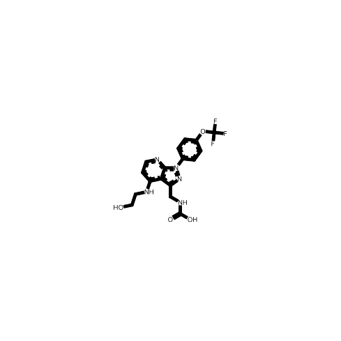 O=C(O)NCc1nn(-c2ccc(OC(F)(F)F)cc2)c2nccc(NCCO)c12